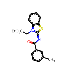 CCOC(=O)Cn1c(=NC(=O)c2cccc(C)c2)sc2ccccc21